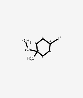 COC1(C)CCC(I)CC1